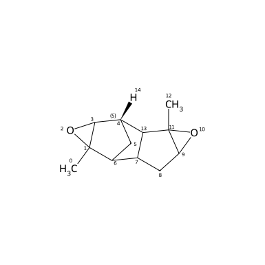 CC12OC1[C@H]1CC2C2CC3OC3(C)C21